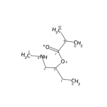 CCC(CNC)OC(=O)C(C)C